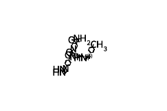 Cc1ccc([C@@H]2C[C@H]2NCCC[C@H](NC(=O)c2ccc(N3C=CNN3)cc2)C(=O)N2CCC(F)(C(N)=O)CC2)cc1